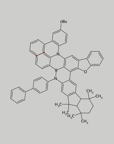 CCCCc1ccc(N2c3ccccc3B3c4c2cc2c(oc5ccccc52)c4-c2cc4c(cc2N3c2ccc(-c3ccccc3)cc2)C(C)(C)C2C4C(C)(C)CCC2(C)C)c(-c2ccccc2)c1